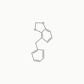 [c]1ccc2c(c1Cc1ccccc1)OCO2